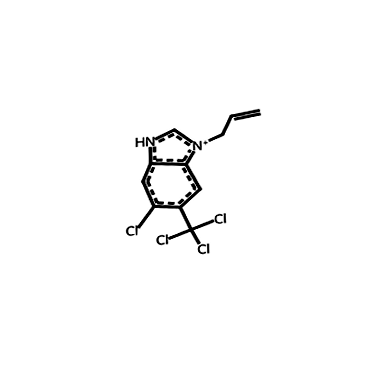 C=CC[n+]1c[nH]c2cc(Cl)c(C(Cl)(Cl)Cl)cc21